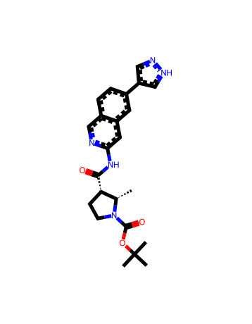 C[C@H]1[C@@H](C(=O)Nc2cc3cc(-c4cn[nH]c4)ccc3cn2)CCN1C(=O)OC(C)(C)C